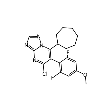 COc1cc(F)c(-c2c(Cl)nc3ncnn3c2C2CCCCCC2)c(F)c1